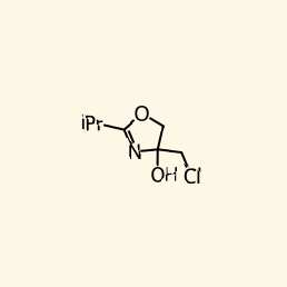 CC(C)C1=NC(O)(CCl)CO1